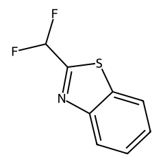 FC(F)c1nc2ccccc2s1